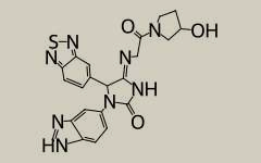 O=C(CN=C1NC(=O)N(c2ccc3[nH]cnc3c2)C1c1ccc2nsnc2c1)N1CCC(O)C1